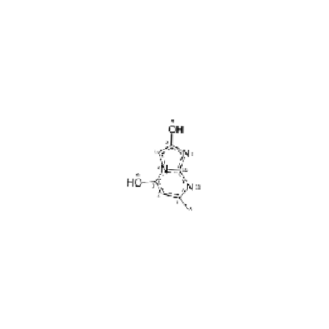 Cc1cc(O)n2cc(O)nc2n1